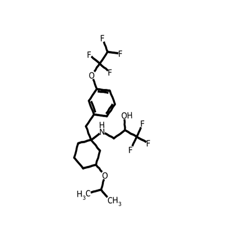 CC(C)OC1CCCC(Cc2cccc(OC(F)(F)C(F)F)c2)(NCC(O)C(F)(F)F)C1